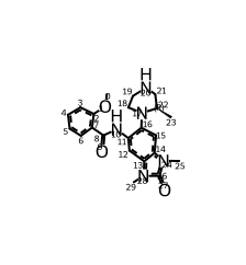 COc1ccccc1C(=O)Nc1cc2c(cc1N1CCNC[C@H]1C)n(C)c(=O)n2C